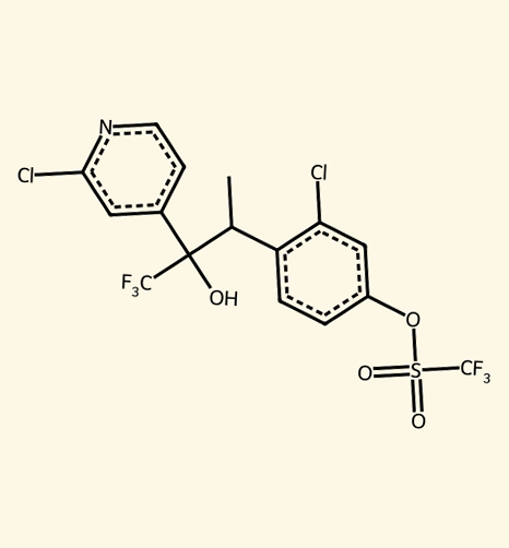 CC(c1ccc(OS(=O)(=O)C(F)(F)F)cc1Cl)C(O)(c1ccnc(Cl)c1)C(F)(F)F